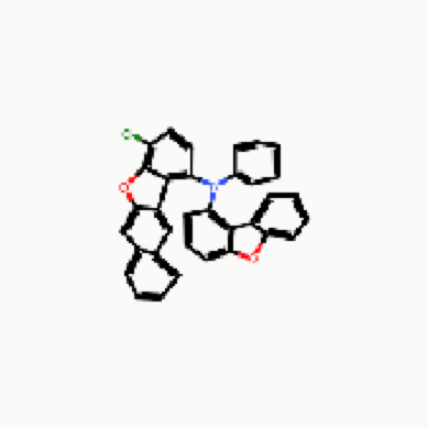 Clc1ccc(N(c2ccccc2)c2cccc3oc4ccccc4c23)c2c1oc1cc3ccccc3cc12